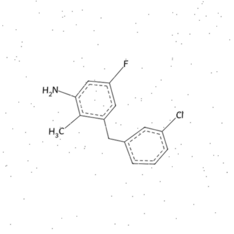 Cc1c(N)cc(F)cc1Cc1cccc(Cl)c1